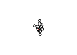 CC(=O)OC(CC(=O)OCc1ccccc1)(CC(=O)OCc1ccccc1)C(=O)OCc1ccccc1